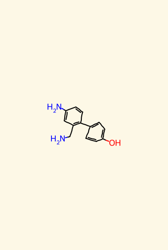 NCc1cc(N)ccc1-c1ccc(O)cc1